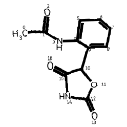 CC(=O)Nc1ccccc1C1OC(=O)NC1=O